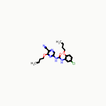 C=CCCOc1ccc(Cl)cc1NC(=O)Nc1cnc(C#N)c(OCCC=C)n1